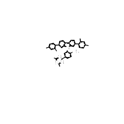 Cc1ccc(-c2ccc3c4ccc(-c5ccc(C)cc5C)cc4n(-c4cc(-c5nc(C)nc(C)n5)ccc4C#N)c3c2)c(C)c1